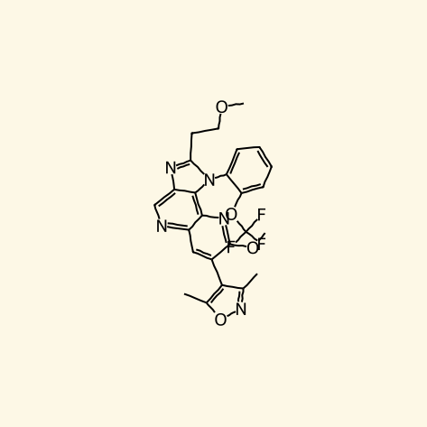 COCCc1nc2cnc3cc(-c4c(C)noc4C)c(OC)nc3c2n1-c1ccccc1OC(F)(F)F